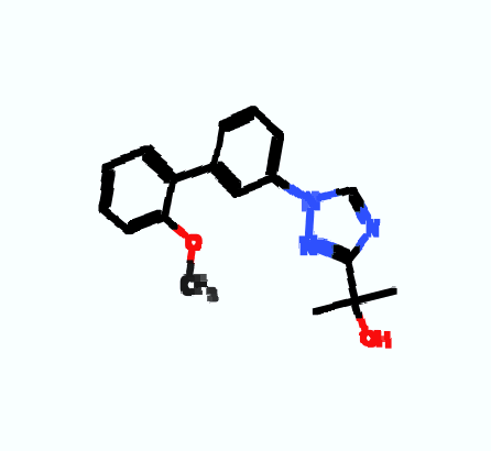 CC(C)(O)c1ncn(-c2cccc(-c3ccccc3OC(F)(F)F)c2)n1